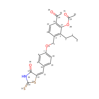 CCCc1c(COc2ccc(C=C3SC(=S)NC3=O)cc2)ccc(C(C)=O)c1OC(C)=O